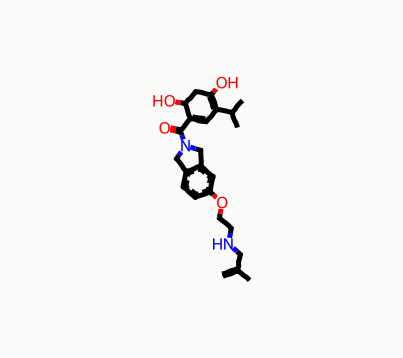 C=C(C)CNCCOc1ccc2c(c1)CN(C(=O)C1=CC(C(C)C)=C(O)CC1O)C2